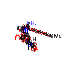 CC[C@@]1(O)C(=O)OCc2c1cc1n(c2=O)Cc2cc3c(CN(C(=O)OCc4ccc(NC(=O)[C@H](C)NC(=O)[C@@H](NC(=O)[C@H](CCCCN)NC(=O)CCOCCOCCOCCOCCOCCOCCOCCOC)C(C)C)c(O[C@@H]5O[C@H](C(=O)O)[C@@H](O)[C@H](O)[C@H]5O)c4)C(C)C)c(O)ccc3nc2-1